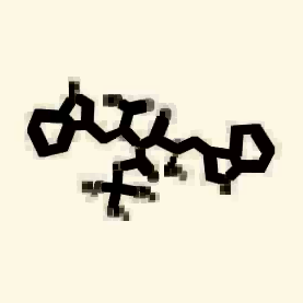 CC(C)(C)OC(=O)N(C(=O)[C@@H](N)Cc1c[nH]c2ccccc12)[C@@H](Cc1c[nH]c2ccccc12)C(=O)O